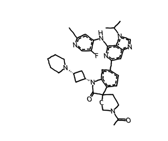 CC(=O)N1CCC2(CC1)C(=O)N([C@H]1C[C@@H](N3CCCCC3)C1)c1cc(-c3cc4ncn(C(C)C)c4c(Nc4cc(C)ncc4F)n3)ccc12